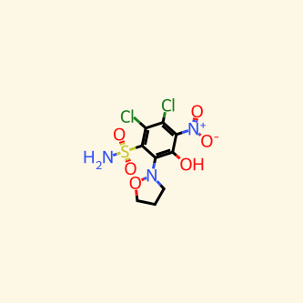 NS(=O)(=O)c1c(Cl)c(Cl)c([N+](=O)[O-])c(O)c1N1CCCO1